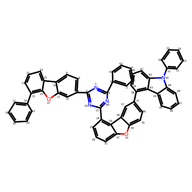 c1ccc(-c2nc(-c3ccc4c(c3)oc3c(-c5ccccc5)cccc34)nc(-c3cccc4oc5ccc(-c6cccc7c6c6ccccc6n7-c6ccccc6)cc5c34)n2)cc1